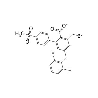 CS(=O)(=O)c1ccc(-c2cc(Cc3c(F)cccc3F)[c]c(CBr)c2[N+](=O)[O-])cc1